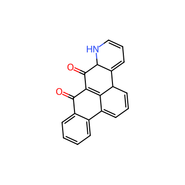 O=C1C2=C3C(=CC=CC3C3=CC=CNC3C2=O)c2ccccc21